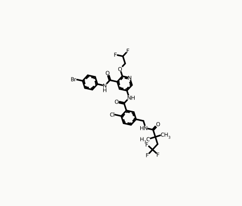 CC(C)(CC(F)(F)F)C(=O)NCc1ccc(Cl)c(C(=O)Nc2cnc(OCC(F)F)c(C(=O)Nc3ccc(Br)cc3)c2)c1